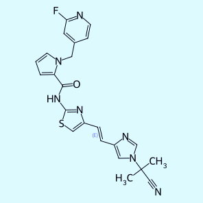 CC(C)(C#N)n1cnc(/C=C/c2csc(NC(=O)c3cccn3Cc3ccnc(F)c3)n2)c1